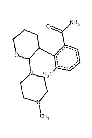 Cc1cccc(C(N)=O)c1C1CCCOC1N1CCN(C)CC1